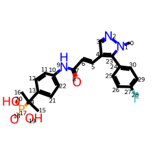 Cn1ncc(/C=C/C(=O)Nc2ccc(C(C)(C)P(=O)(O)O)cc2)c1-c1ccc(F)cc1